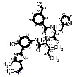 C/C=C\c1nc(-c2cc(NC(=O)[C@@H](NC(=O)[C@H](Cc3ncc[nH]3)NC(=O)c3cccc(C=O)c3)[C@@H](C)CC)ccc2O)sc1C